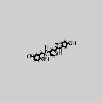 O=C(Cc1cc(Cl)ccc1O)Nc1ccnc(C(=O)N[C@H]2CC[C@@H](O)C2)c1